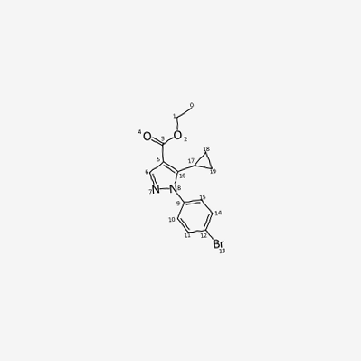 CCOC(=O)c1cnn(-c2ccc(Br)cc2)c1C1CC1